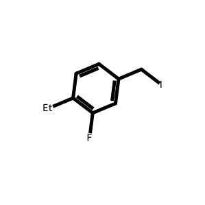 CCc1ccc(CI)cc1F